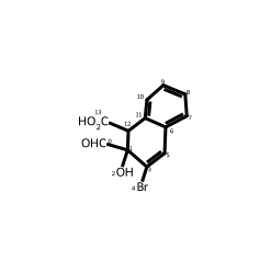 O=CC1(O)C(Br)=Cc2ccccc2C1C(=O)O